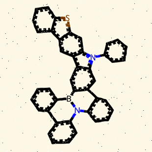 c1ccc(-n2c3cc4c(cc3c3cc5c(cc32)sc2ccccc25)B2c3ccccc3-c3ccccc3N2c2ccccc2-4)cc1